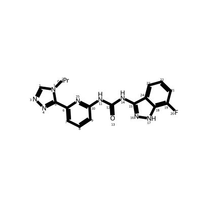 CC(C)n1cnnc1-c1cccc(NC(=O)Nc2n[nH]c3c(F)cccc23)n1